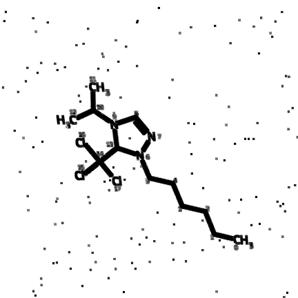 CCCCCCN1N=CN(C(C)C)C1C(Cl)(Cl)Cl